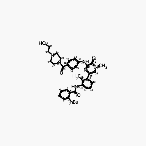 CCCCc1ccccc1C(=O)Nc1cccc(-c2cn(C)c(=O)c(Nc3ccc(C(=O)N4CCN(CCO)CC4)cc3)n2)c1C